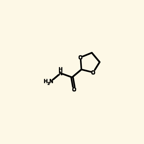 NNC(=O)C1OCCO1